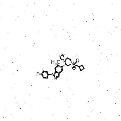 Cc1cc2c(cnn2-c2ccc(F)cc2)cc1[C@@H]1CN(S(=O)(=O)C2CCC2)CCN1CC(C)C